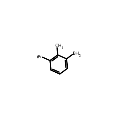 Bc1cccc(C(C)C)c1C